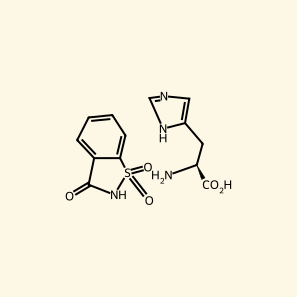 N[C@@H](Cc1cnc[nH]1)C(=O)O.O=C1NS(=O)(=O)c2ccccc21